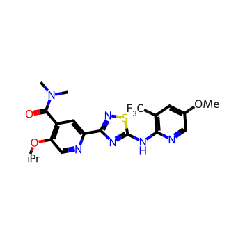 COc1cnc(Nc2nc(-c3cc(C(=O)N(C)C)c(OC(C)C)cn3)ns2)c(C(F)(F)F)c1